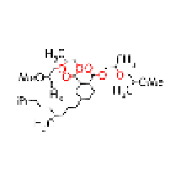 COC(C)COC(C)COC(=O)C1CCC(CCCC(C)CCCC(C)C)CC1C(=O)OCC(C)OCC(C)OC